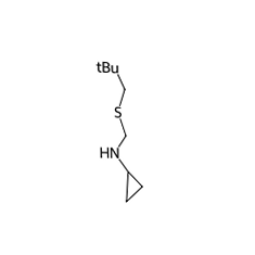 CC(C)(C)CSCNC1CC1